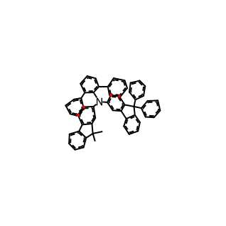 CC1(C)c2ccccc2-c2ccc(N(c3ccc4c(c3)-c3ccccc3C4(c3ccccc3)c3ccccc3)c3c(-c4ccccc4)cccc3-c3ccccc3)cc21